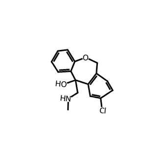 CNCC1(O)c2cc(Cl)ccc2COc2ccccc21